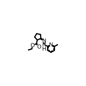 CCOC(=O)C1CCC/C1=N/Nc1cccc(C)n1